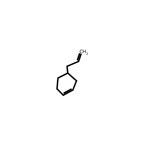 C=CCC1CC=CCC1